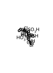 O=C(Nc1ccc(S(=O)(=O)O)c(/N=N/c2c(OOOS)cc3cc(S(=O)(=O)O)cc(Nc4nc(Cl)nc(Nc5cccc6ccccc56)n4)c3c2O)c1)C(Br)CBr